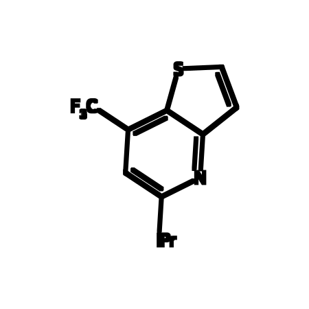 CC(C)c1cc(C(F)(F)F)c2sccc2n1